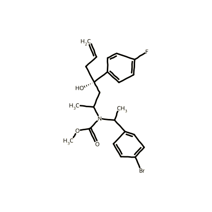 C=CC[C@](O)(CC(C)N(C(=O)OC)C(C)c1ccc(Br)cc1)c1ccc(F)cc1